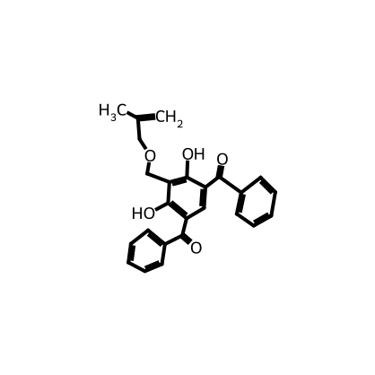 C=C(C)COCc1c(O)c(C(=O)c2ccccc2)cc(C(=O)c2ccccc2)c1O